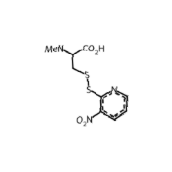 CNC(CSSc1ncccc1[N+](=O)[O-])C(=O)O